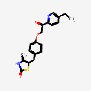 C=C1NC(=O)SC1Cc1ccc(OCC(=O)c2ccc(CC)cn2)cc1